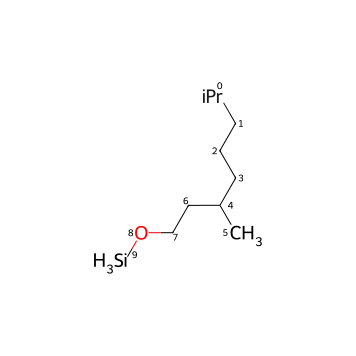 CC(C)CCCC(C)CCO[SiH3]